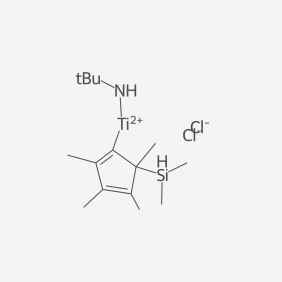 CC1=C(C)C(C)([SiH](C)C)[C]([Ti+2][NH]C(C)(C)C)=C1C.[Cl-].[Cl-]